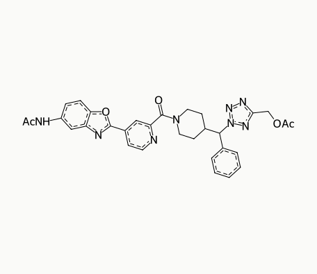 CC(=O)Nc1ccc2oc(-c3ccnc(C(=O)N4CCC(C(c5ccccc5)n5nnc(COC(C)=O)n5)CC4)c3)nc2c1